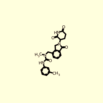 Cc1cccc(NC(=O)N(C)Cc2cccc3c2CN(C2CCC(=O)NC2=O)C3=O)c1